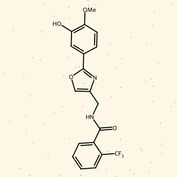 COc1ccc(-c2nc(CNC(=O)c3ccccc3C(F)(F)F)co2)cc1O